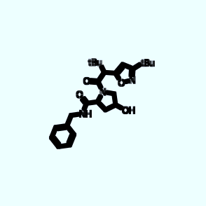 CC(C)(C)c1cc(C(C(=O)N2CC(O)CC2C(=O)NCc2ccccc2)C(C)(C)C)on1